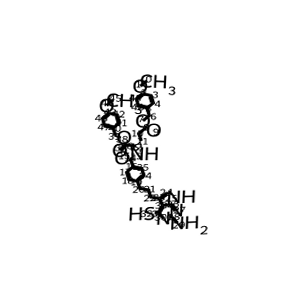 COc1ccc(COC(=O)CC[C@H](NC(=O)c2ccc(CCCc3c[nH]c4nc(N)nc(S)c34)cc2)C(=O)OCc2ccc(OC)cc2)cc1